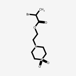 CC(Br)C(=O)OCCN1CCS(=O)(=O)CC1